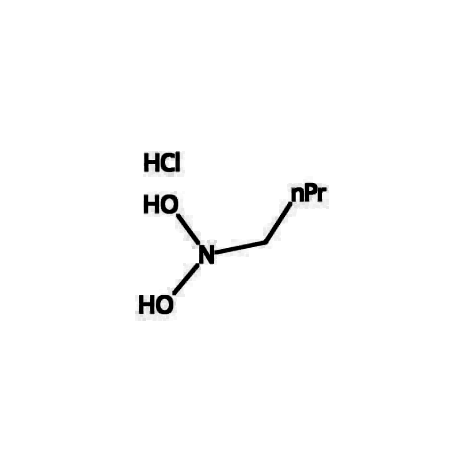 CCCCN(O)O.Cl